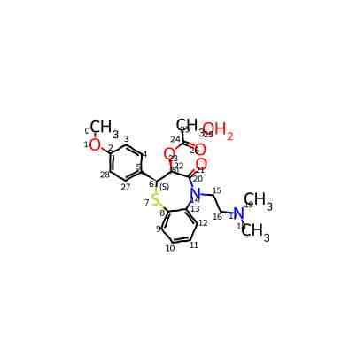 COc1ccc([C@@H]2Sc3ccccc3N(CCN(C)C)C(=O)[C@@H]2OC(C)=O)cc1.O